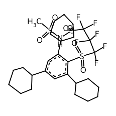 CS(=O)(=O)NS(=O)(=O)C(F)(F)C(F)(F)C(F)(F)S(=O)(=O)c1c(C2CCCCC2)cc(C2CCCCC2)cc1C1CCCCC1